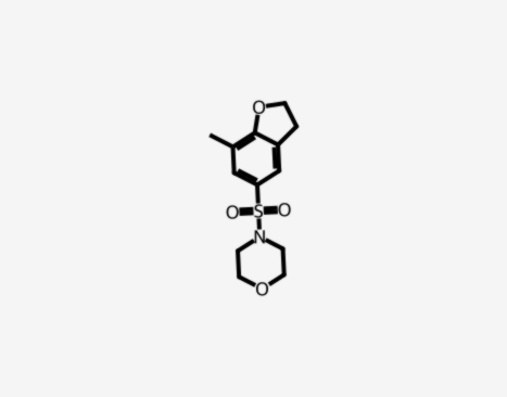 Cc1cc(S(=O)(=O)N2CCOCC2)cc2c1OCC2